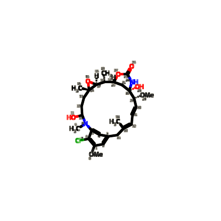 COc1cc2cc(c1Cl)N(C)C(O)CC[C@]1(C)O[C@H]1[C@H](C)[C@@H]1C[C@@](O)(NC(=O)O1)[C@H](OC)/C=C/C=C(\C)C2